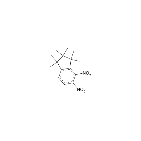 CC1(C)c2ccc([N+](=O)[O-])c([N+](=O)[O-])c2C(C)(C)C1(C)C